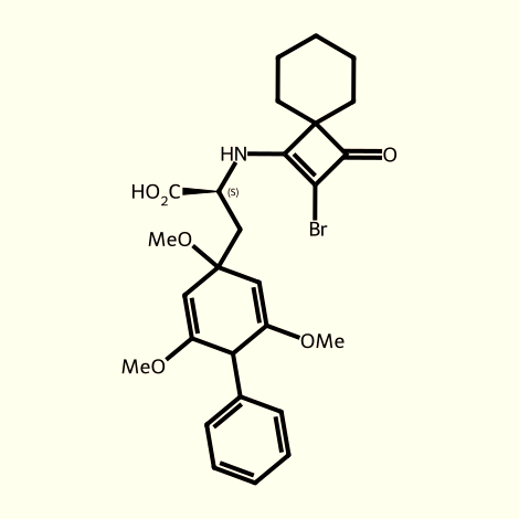 COC1=CC(C[C@H](NC2=C(Br)C(=O)C23CCCCC3)C(=O)O)(OC)C=C(OC)C1c1ccccc1